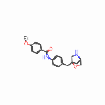 CCOc1ccc(C(=O)Nc2ccc(CC34CNC(CO3)C4)cc2)cc1